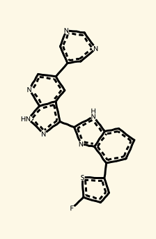 Fc1ccc(-c2cccc3[nH]c(-c4n[nH]c5ncc(-c6cncnc6)cc45)nc23)s1